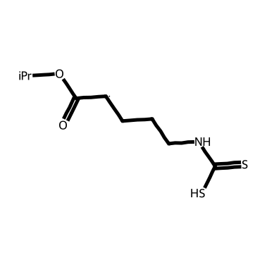 CC(C)OC(=O)[CH]CCCNC(=S)S